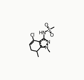 CC1CC=C(Cl)c2c(NS(C)(=O)=O)nn(C)c21